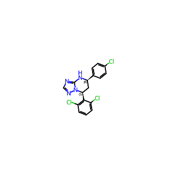 Clc1ccc([C@H]2C[C@@H](c3c(Cl)cccc3Cl)n3ncnc3N2)cc1